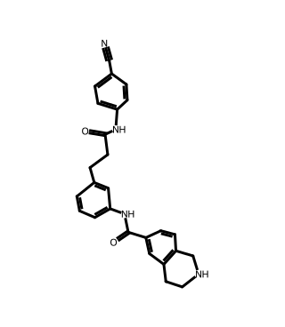 N#Cc1ccc(NC(=O)CCc2cccc(NC(=O)c3ccc4c(c3)CCNC4)c2)cc1